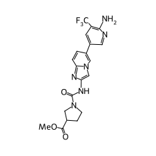 COC(=O)C1CCN(C(=O)Nc2cn3cc(-c4cnc(N)c(C(F)(F)F)c4)ccc3n2)C1